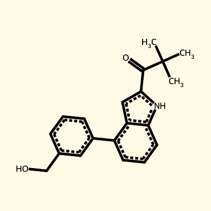 CC(C)(C)C(=O)c1cc2c(-c3cccc(CO)c3)cccc2[nH]1